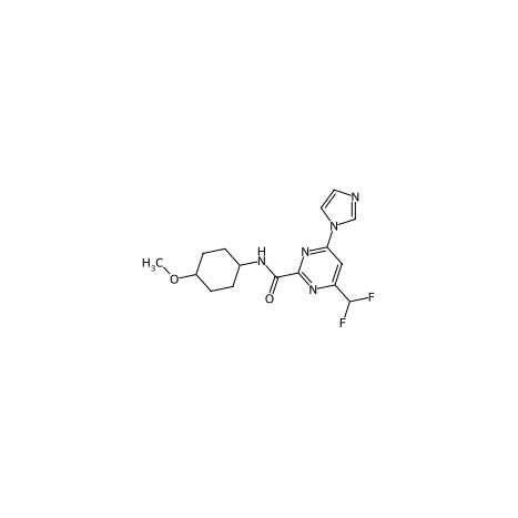 COC1CCC(NC(=O)c2nc(C(F)F)cc(-n3ccnc3)n2)CC1